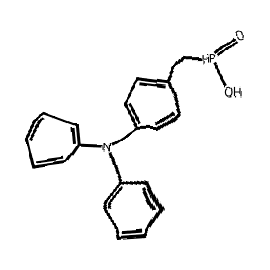 O=[PH](O)Cc1ccc(N(c2ccccc2)c2ccccc2)cc1